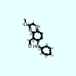 COc1cnc2ccc(Nc3c[c]ccc3)c(C=O)c2n1